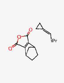 CC(C)C=C1CC1.O=C1OC(=O)C2=C1C1CCC2C1